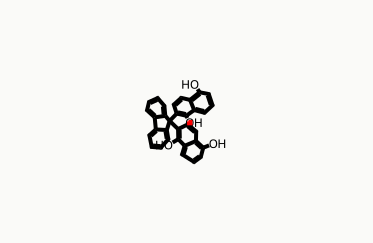 Oc1cccc2c(O)c(C3(c4ccc5c(O)cccc5c4O)c4ccccc4-c4ccccc43)ccc12